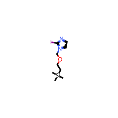 C[Si](C)(C)CCOCn1ccnc1I